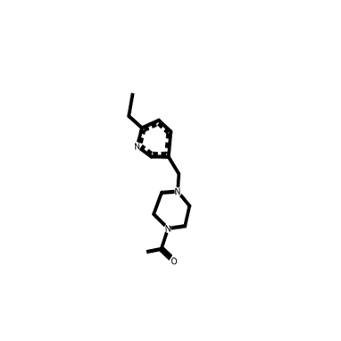 CCc1ccc(CN2CCN(C(C)=O)CC2)cn1